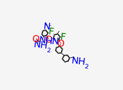 Cc1c(F)c(Oc2cccc(-c3cccc(CN)c3)c2)nc(Oc2cc(N(C)C)ccc2NC(N)=O)c1F